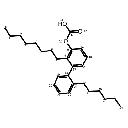 CCCCCCCCc1c(OC(=O)O)cccc1-c1ccccc1CCCCCC